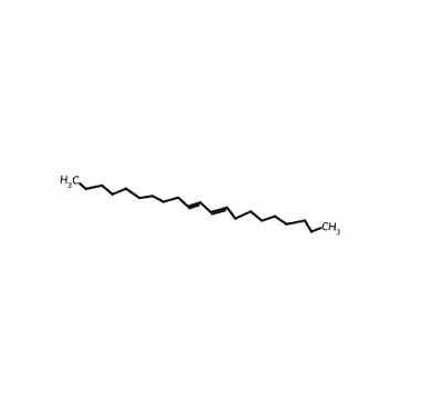 CCCCCCCCC=CC=CCCCCCCCCC